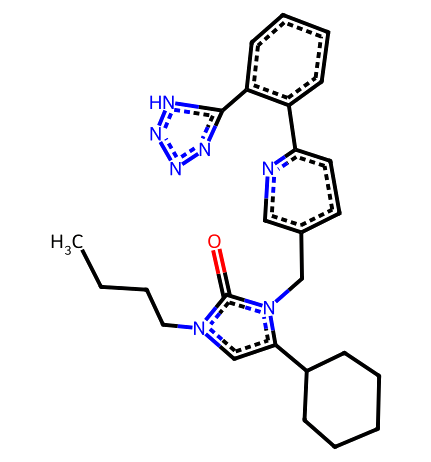 CCCCn1cc(C2CCCCC2)n(Cc2ccc(-c3ccccc3-c3nnn[nH]3)nc2)c1=O